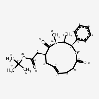 C[C@H]1[C@@H](c2ccccc2)OC(=O)CC/C=C/C[C@@H](CC(=O)OC(C)(C)C)C(=O)N1C